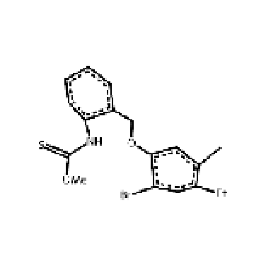 CCc1cc(Br)c(OCc2ccccc2NC(=S)OC)cc1C